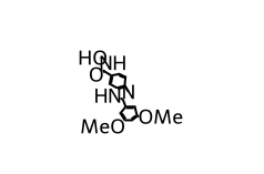 COc1cc(OC)cc(-c2nc3ccc(C(=O)NO)cc3[nH]2)c1